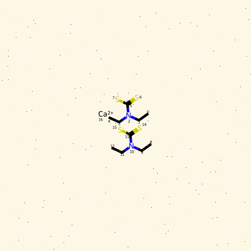 CCN(CC)C(=S)[S-].CCN(CC)C(=S)[S-].[Ca+2]